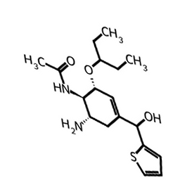 CCC(CC)O[C@@H]1C=C(C(O)c2cccs2)C[C@H](N)[C@H]1NC(C)=O